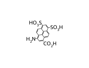 Nc1cc(C(=O)O)c2ccc3c(S(=O)(=O)O)cc(S(=O)(=O)O)c4ccc1c2c43